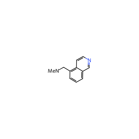 CNCc1cccc2cnccc12